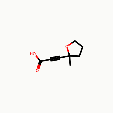 CC1(C#CC(=O)O)CCCO1